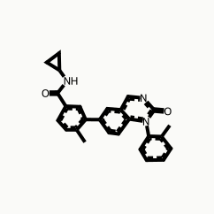 Cc1ccc(C(=O)NC2CC2)cc1-c1ccc2c(cnc(=O)n2-c2ccccc2C)c1